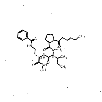 CCCCCC(=O)N1CCC[C@H]1C(=O)N(C)[C@H](C(=O)N[C@@H](CCNC(=O)c1ccccc1)C(=O)NO)C(C)CC